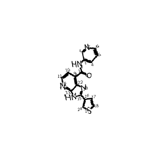 O=C(Nc1cccnc1)c1ccnc2[nH]c(-c3ccsc3)nc12